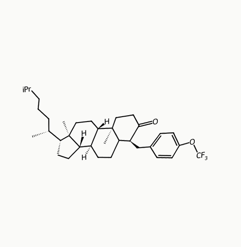 CC(C)CCC[C@@H](C)[C@H]1CC[C@H]2[C@@H]3CCC4[C@H](Cc5ccc(OC(F)(F)F)cc5)C(=O)CC[C@]4(C)[C@H]3CC[C@]12C